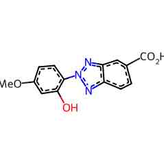 COc1ccc(-n2nc3ccc(C(=O)O)cc3n2)c(O)c1